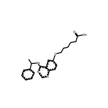 CC(Nc1ncnc2ccc(OCCCCCC(=O)O)cc12)c1ccccc1